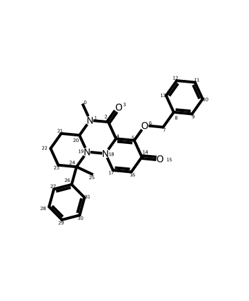 CN1C(=O)c2c(OCc3ccccc3)c(=O)ccn2N2C1CCCC2(C)c1ccccc1